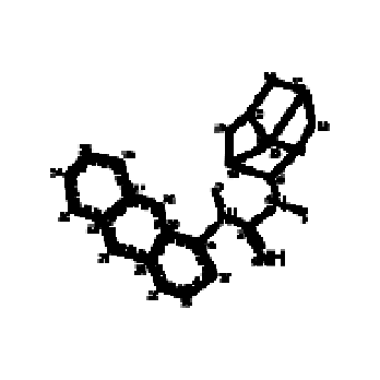 CN(C(=N)N(C)C1C2CC3CC(C2)CC1C3)c1cccc2cc3ccccc3cc12